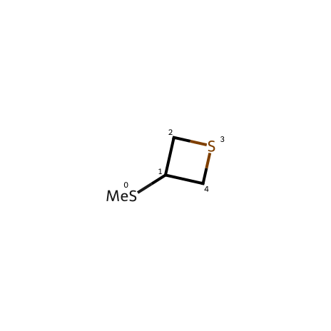 CSC1CSC1